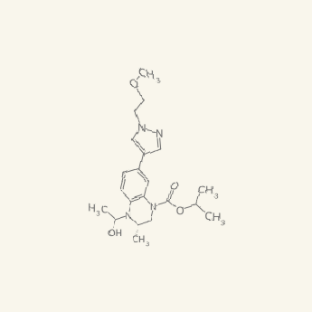 COCCn1cc(-c2ccc3c(c2)N(C(=O)OC(C)C)C[C@H](C)N3C(C)O)cn1